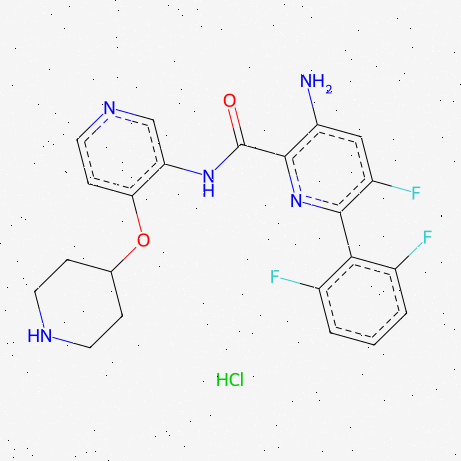 Cl.Nc1cc(F)c(-c2c(F)cccc2F)nc1C(=O)Nc1cnccc1OC1CCNCC1